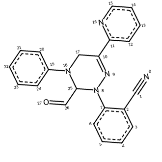 N#Cc1ccccc1N1N=C(c2ccccn2)CN(c2ccccc2)C1C=O